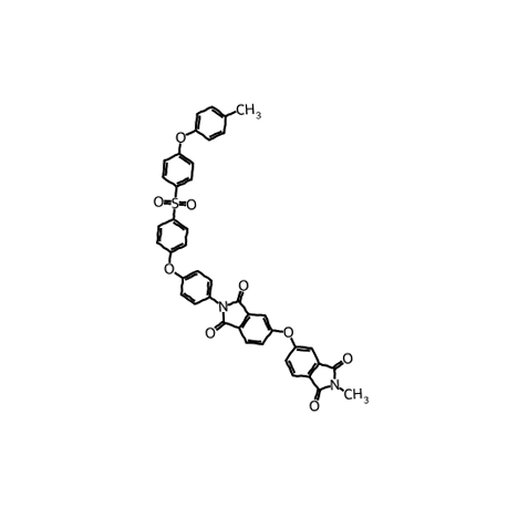 Cc1ccc(Oc2ccc(S(=O)(=O)c3ccc(Oc4ccc(N5C(=O)c6ccc(Oc7ccc8c(c7)C(=O)N(C)C8=O)cc6C5=O)cc4)cc3)cc2)cc1